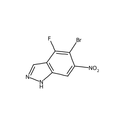 O=[N+]([O-])c1cc2[nH]ncc2c(F)c1Br